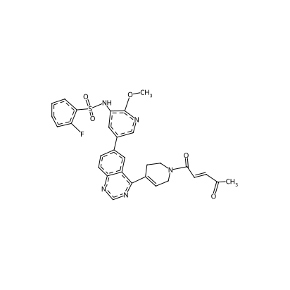 COc1ncc(-c2ccc3ncnc(C4=CCN(C(=O)/C=C/C(C)=O)CC4)c3c2)cc1NS(=O)(=O)c1ccccc1F